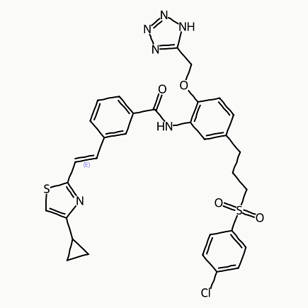 O=C(Nc1cc(CCCS(=O)(=O)c2ccc(Cl)cc2)ccc1OCc1nnn[nH]1)c1cccc(/C=C/c2nc(C3CC3)cs2)c1